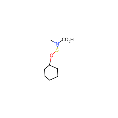 CN(SOC1CCCCC1)C(=O)O